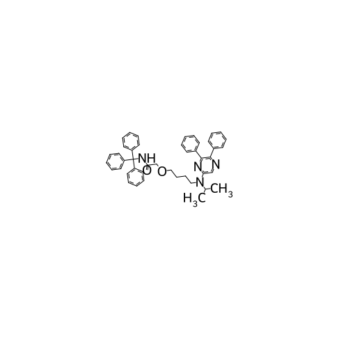 CC(C)N(CCCCOCC(=O)NC(c1ccccc1)(c1ccccc1)c1ccccc1)c1cnc(-c2ccccc2)c(-c2ccccc2)n1